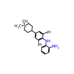 CC(C)c1cc(C2CC[Si](C)(C)CC2)cc(C(C)C)c1Nc1ccccc1N